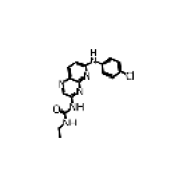 CCNC(=O)Nc1cnc2ccc(Nc3ccc(Cl)cc3)nc2n1